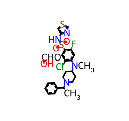 CC(c1ccccc1)N1CCC(N(C)c2cc(F)c(S(=O)(=O)Nc3cscn3)cc2Cl)CC1.O=CO